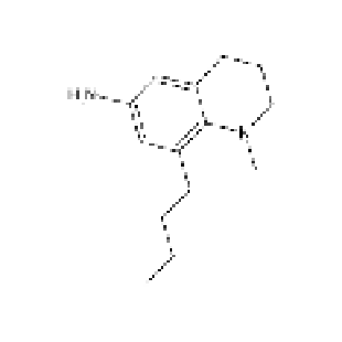 CCCCc1cc(N)cc2c1N(C)CCC2